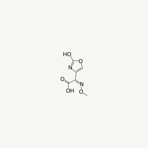 CON=C(C(=O)O)c1coc(O)n1